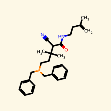 C=C(C)CCNC(=O)C(C#N)C(C)(C)CCP(Cc1ccccc1)Cc1ccccc1